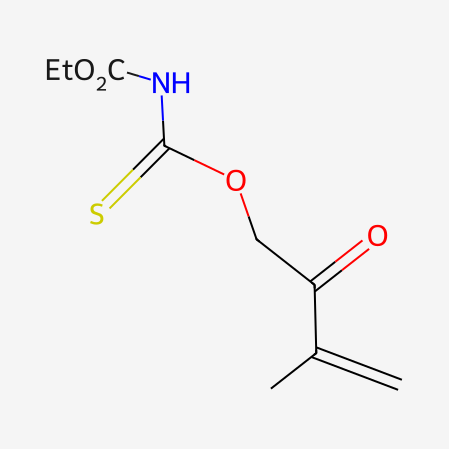 C=C(C)C(=O)COC(=S)NC(=O)OCC